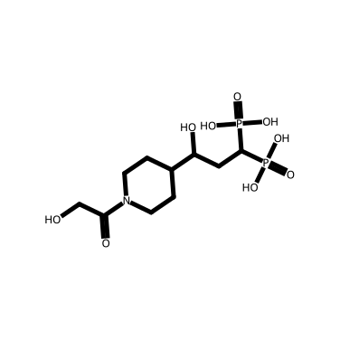 O=C(CO)N1CCC(C(O)CC(P(=O)(O)O)P(=O)(O)O)CC1